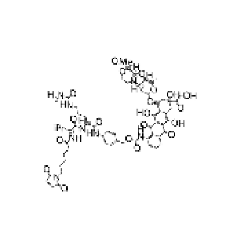 CO[C@H]1OCCN2[C@@H]1O[C@@H]1[C@H](C)OC(O[C@H]3C[C@](O)(C(=O)CO)Cc4c(O)c5c(c(O)c43)C(=O)c3c(NC(=O)OCc4ccc(NC(=O)[C@H](CCCNC(N)=O)NC(=O)[C@@H](NC(=O)CCCCCN6C(=O)C=CC6=O)C(C)C)cc4)cccc3C5=O)C[C@@H]12